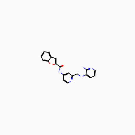 Nc1ncccc1NCc1cc(NC(=O)c2cc3ccccc3o2)ccn1